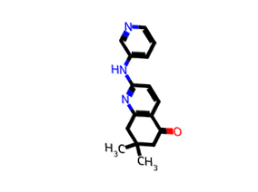 CC1(C)CC(=O)c2ccc(Nc3cccnc3)nc2C1